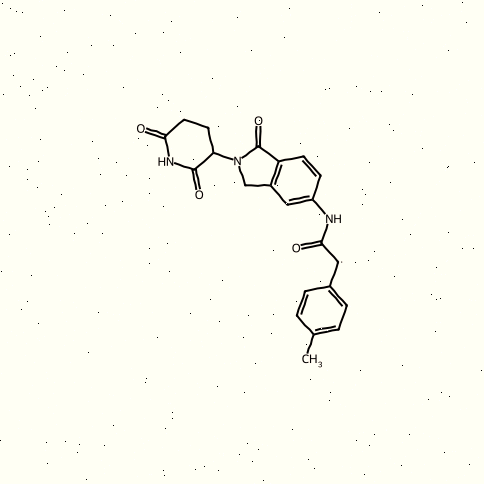 Cc1ccc([CH]C(=O)Nc2ccc3c(c2)CN(C2CCC(=O)NC2=O)C3=O)cc1